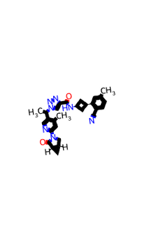 Cc1ccc(C#N)c([C@H]2C[C@@H](NC(=O)c3cn(C(C)c4cnc(N5C[C@H]6C[C@H]6C5=O)cc4C)nn3)C2)c1